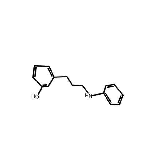 Oc1cccc(CCCNc2ccccc2)c1